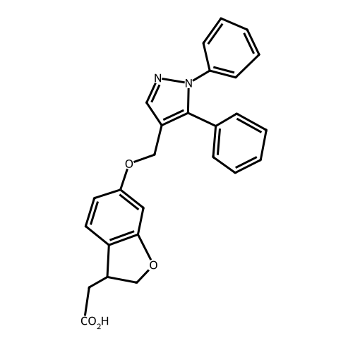 O=C(O)CC1COc2cc(OCc3cnn(-c4ccccc4)c3-c3ccccc3)ccc21